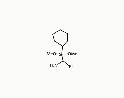 CCC(N)[Si](OC)(OC)C1CCCCC1